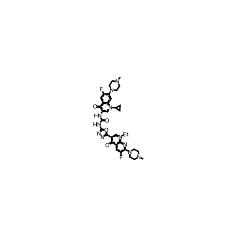 CCn1cc(-c2nnc(NC(=O)Nc3cn(C4CC4)c4cc(N5CCN(C)CC5)c(F)cc4c3=O)o2)c(=O)c2cc(F)c(N3CCN(C)CC3)nc21